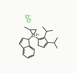 CC(C)C1=CC[C]([Zr+2]2([CH]3C=Cc4ccccc43)[CH2][CH]2C)=C1C(C)C.[Cl-].[Cl-]